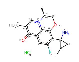 CC1CC1(N)c1c(F)cc2c(=O)c(C(=O)O)cn3c2c1OC[C@@H]3C.Cl